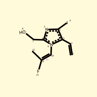 C=Cc1c(I)nc(CO)n1/C=C(\C)F